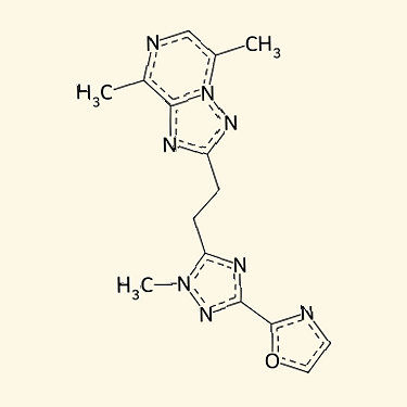 Cc1ncc(C)n2nc(CCc3nc(-c4ncco4)nn3C)nc12